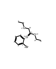 Brc1ccccc1.CCOCC(=O)OCC